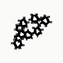 c1cc(-c2ccc3c(c2)c2c4ccccc4ccc2c2nc4ccccn4c32)cc(-n2c3ccccc3c3ccccc32)c1